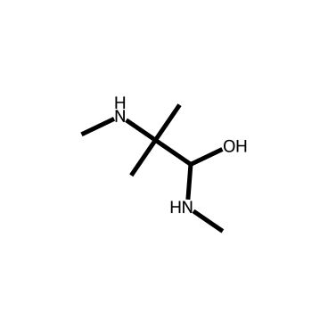 CNC(O)C(C)(C)NC